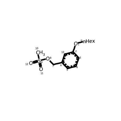 CCCCCCOc1cccc(COS(C)(=O)=O)c1